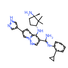 CC1(C)[C@H](Nc2c(/C(N)=N/c3ccccc3C3CC3)cnn3cc(-c4cn[nH]c4)cc23)CC[C@]1(C)N